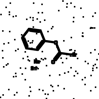 CCCC(=O)Oc1ccccc1.[Na].[Sn]